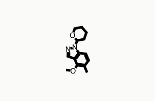 COc1c(C)ccc2c1cnn2C1CCCCO1